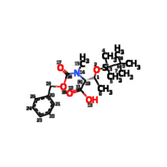 CC(O[Si](C)(C)C(C)(C)C)[C@H](C(=O)O)N(C)C(=O)OCc1ccccc1